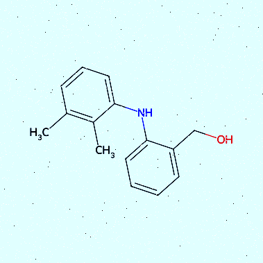 Cc1cccc(Nc2ccccc2CO)c1C